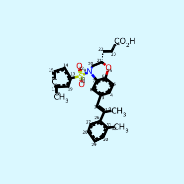 C/C(=C\c1ccc2c(c1)N(S(=O)(=O)c1cccc(C)c1)C[C@H](CCC(=O)O)O2)c1ccccc1C